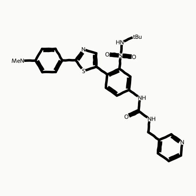 CNc1ccc(-c2ncc(-c3ccc(NC(=O)NCc4cccnc4)cc3S(=O)(=O)NC(C)(C)C)s2)cc1